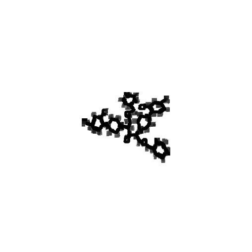 O=C(C(COCc1ccncn1)N1CCN(c2ccc(F)cc2Cl)CC1)C(COCc1ccncn1)N1CCN(c2ccc(F)cc2Cl)CC1